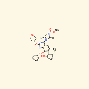 CC(C)(C)OC(=O)N1C[C@@H]2C[C@H]1CN2c1nc(OC2CCOCC2)nc2c(OCc3ccccc3)c(-c3c(O)cccc3F)c(C3CC3)cc12